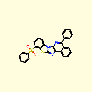 O=S(=O)(c1ccccc1)c1cccc2c1sc1nc3c4ccccc4c(-c4ccccc4)nc3n12